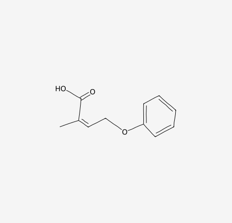 CC(=CCOc1ccccc1)C(=O)O